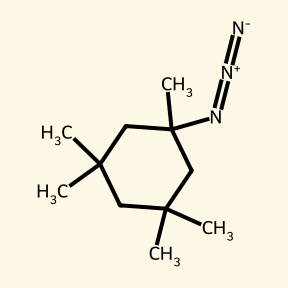 CC1(C)CC(C)(C)CC(C)(N=[N+]=[N-])C1